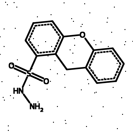 NNS(=O)(=O)c1cccc2c1Cc1ccccc1O2